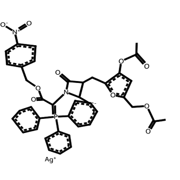 CC(=O)OCc1cc(OC(C)=O)c(CC2C(=O)N(C(C(=O)OCc3ccc([N+](=O)[O-])cc3)=P(c3ccccc3)(c3ccccc3)c3ccccc3)C2[S-])o1.[Ag+]